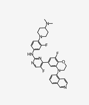 CN(C)C1CCN(c2ccc(Nc3ncc(F)c(-c4cc(F)c5c(c4)N(c4cccc6cnccc46)CCO5)n3)cc2F)CC1